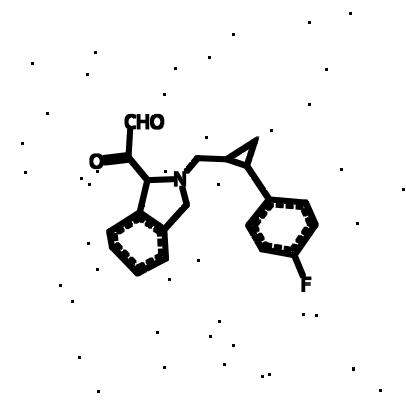 O=CC(=O)C1c2ccccc2CN1CC1CC1c1ccc(F)cc1